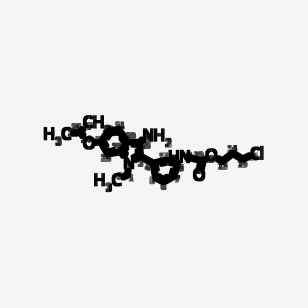 CCn1c(-c2cccc(NC(=O)OCCCCl)c2)c(N)c2ccc(OC(C)C)cc21